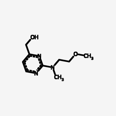 COCCN(C)c1nccc(CO)n1